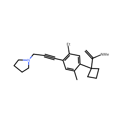 C=C(NC)C1(c2cc(CC)c(C#CCN3CCCC3)cc2C)CCC1